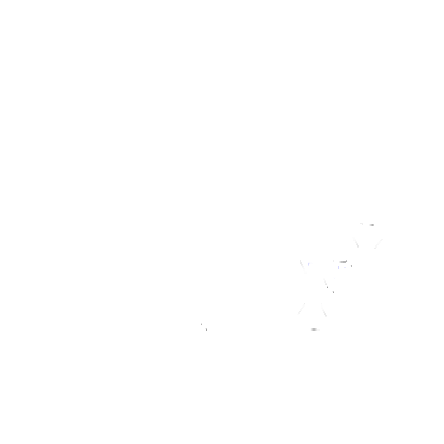 CCCCCCCCCCCCCCCCCCCCCCC/C=C/C(=N\c1ccc(CCC)c(CCC)c1)C(/CCCC)=N/c1ccc(CCC)c(CCC)c1.[Ni]